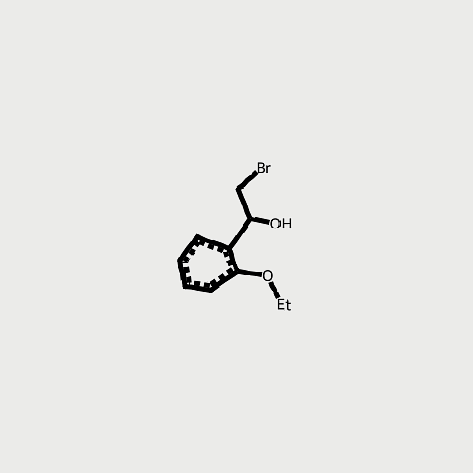 CCOc1ccccc1C(O)CBr